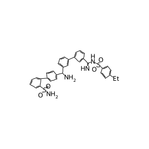 CCc1ccc(S(=O)(=O)NC(=N)c2cccc(-c3cccc(C(N)c4ccc(-c5ccccc5S(N)(=O)=O)cc4)c3)c2)cc1